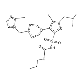 CCCOC(=O)NS(=O)(=O)c1sc(CC(C)C)c(C)c1-c1ccc(Cn2ccnc2C)cc1